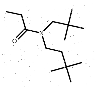 CCC(=O)N(CCC(C)(C)C)CC(C)(C)C